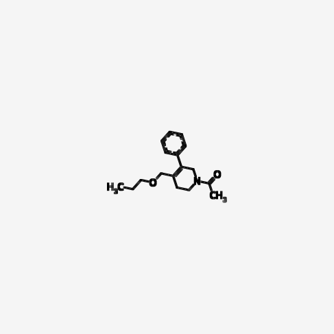 CCCOCC1=C(c2ccccc2)CN(C(C)=O)CC1